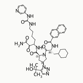 CC(C)(O)c1cnnn1[C@H]1C[C@@H](C(=O)NC(CCCCNC(=O)Nc2cccnc2)C(=O)C(N)=O)N(C(=O)[C@@H](CC2CCCCC2)NC(=O)c2ccc3ccccc3c2)C1